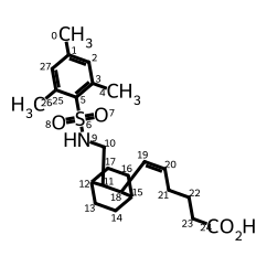 Cc1cc(C)c(S(=O)(=O)NCC2C3CCC(CC3)C2/C=C\CCCC(=O)O)c(C)c1